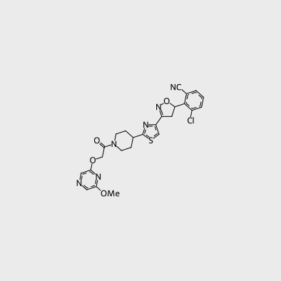 COc1cncc(OCC(=O)N2CCC(c3nc(C4=NOC(c5c(Cl)cccc5C#N)C4)cs3)CC2)n1